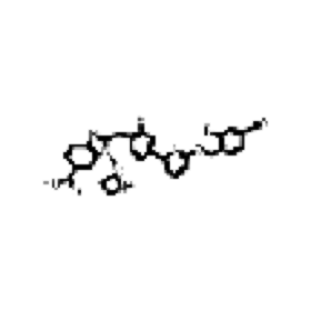 CN1CC[C@H]1Cn1c(Cc2ccc(-c3cccc(OCc4ccc(C#N)cc4F)n3)cc2F)nc2ccc(C(=O)O)cc21